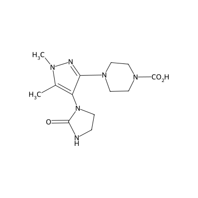 Cc1c(N2CCNC2=O)c(N2CCN(C(=O)O)CC2)nn1C